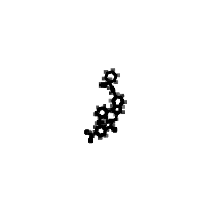 Nc1nccc(-n2c(CNC(=O)c3ccc([N+](=O)[O-])cc3)cc3ccc(C#CC4(O)CCCCC4)cc32)n1